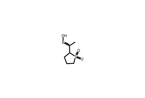 CC(=NO)C1CCCS1(=O)=O